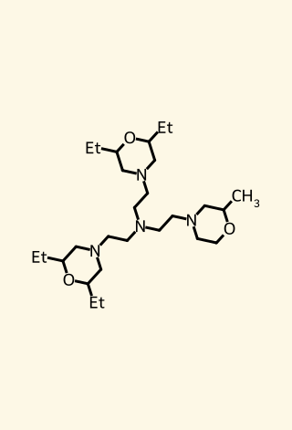 CCC1CN(CCN(CCN2CCOC(C)C2)CCN2CC(CC)OC(CC)C2)CC(CC)O1